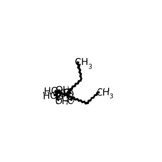 CCCCCCCC/C=C\CCCCCCCC(=O)OCC(COC1OC(CO)C(O)C(O)C1O)OC(=O)CCCCCCC/C=C\CCCCCCCC